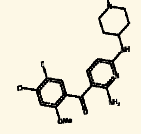 CCOC(=O)N1CCC(Nc2ccc(C(=O)c3cc(F)c(Cl)cc3OC)c(N)n2)CC1